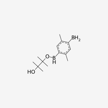 Bc1cc(C)c(BOC(C)(C)C(C)(C)O)cc1C